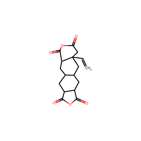 C=CC12CC(=O)OC(=O)C1CC1CC3C(=O)OC(=O)C3CC1C2